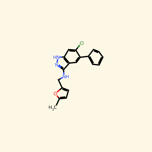 Cc1ccc(CNc2n[nH]c3cc(Cl)c(-c4ccccc4)cc23)o1